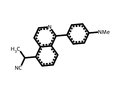 CNc1ccc(-c2nccc3c(C(C)C#N)cccc23)cc1